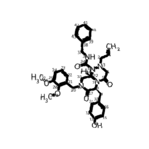 C=CCN1CC(=O)N2[C@@H](Cc3ccc(O)cc3)C(=O)N(Cc3cccc(OC)c3OC)C[C@@H]2N1C(=O)NCc1ccccc1